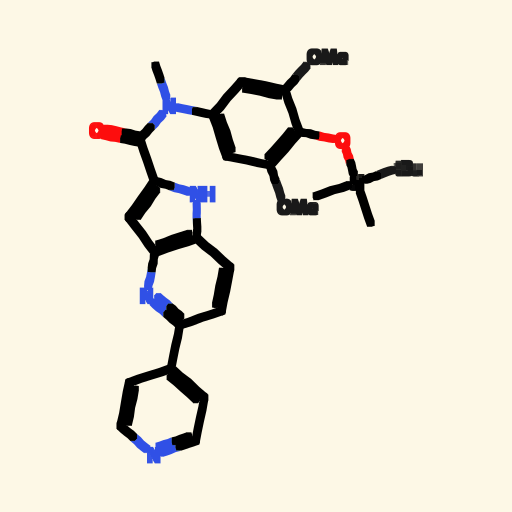 COc1cc(N(C)C(=O)c2cc3nc(-c4ccncc4)ccc3[nH]2)cc(OC)c1O[Si](C)(C)C(C)(C)C